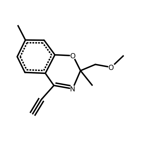 C#CC1=NC(C)(COC)Oc2cc(C)ccc21